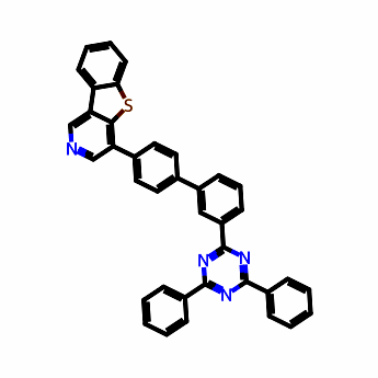 c1ccc(-c2nc(-c3ccccc3)nc(-c3cccc(-c4ccc(-c5cncc6c5sc5ccccc56)cc4)c3)n2)cc1